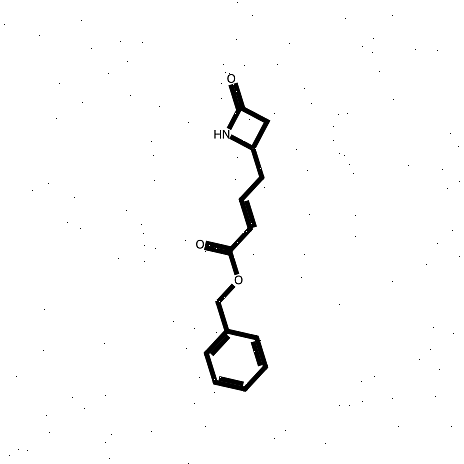 O=C1CC(CC=CC(=O)OCc2ccccc2)N1